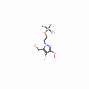 CCOc1nn(CCO[Si](C)(C)C(C)(C)C)c(CBr)c1I